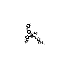 C[C@H]1CN(CCN2CC(c3cccc(C(F)(F)F)c3)N(c3ccc(Oc4ccc(Cl)cc4)cc3)/C2=N/C#N)CCO1